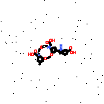 Cc1ccc2c(c1)OCCOc1cc(-c3cc4ccc(C(=O)O)cc4[nH]3)ccc1N(CC(=O)O)CCOCCN2CC(=O)O